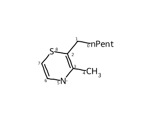 CCCCCCC1=C(C)[N]C=CS1